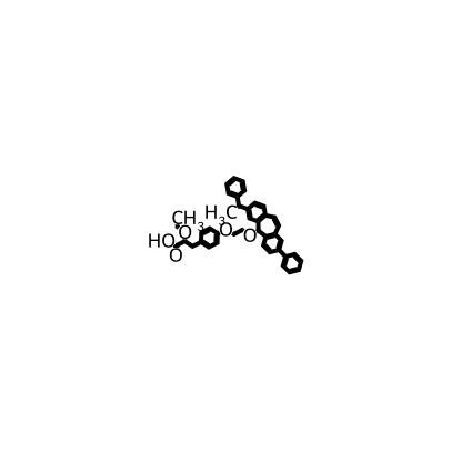 CCOC(Cc1ccc(OCCOC2c3ccc(-c4ccccc4)cc3C=Cc3ccc(C(C)c4ccccc4)cc32)cc1)C(=O)O